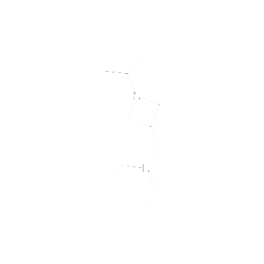 CCN(CC)CC1CN(C(C)C)C1